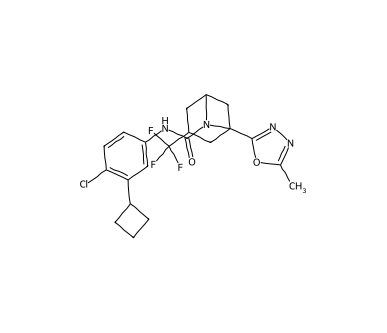 Cc1nnc(C23CC(CC(C(F)(F)F)C2)N3C(=O)Nc2ccc(Cl)c(C3CCC3)c2)o1